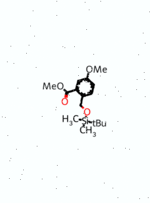 COC(=O)c1cc(OC)ccc1CO[Si](C)(C)C(C)(C)C